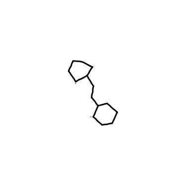 [CH]1CCCCC1CCC1[CH]CCCC1